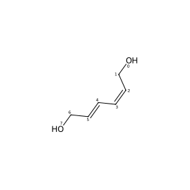 OC/C=C\C=C\CO